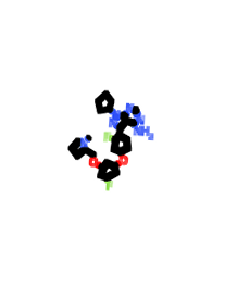 Cn1cccc1COc1cc(F)cc(Oc2ccc(-c3nn(C4CCCC4)c4ncnc(N)c34)c(F)c2)c1